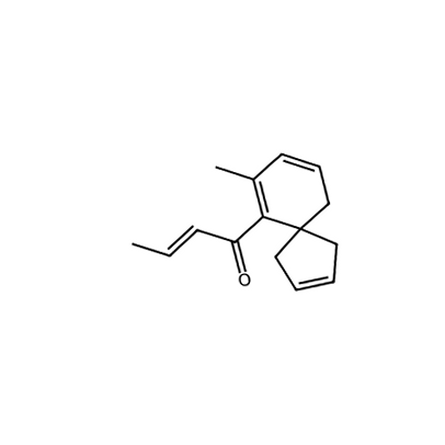 C/C=C/C(=O)C1=C(C)C=CCC12CC=CC2